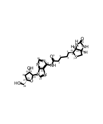 O=C(CCCC[C@@H]1SC[C@@H]2NC(=O)N[C@@H]21)Nc1ncnc2c1ncn2C1O[C@H](CO)C[C@@H]1O